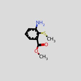 COC(=O)c1cccc(N)c1SC